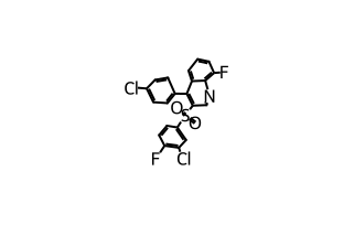 O=S(=O)(c1ccc(F)c(Cl)c1)c1cnc2c(F)cccc2c1-c1ccc(Cl)cc1